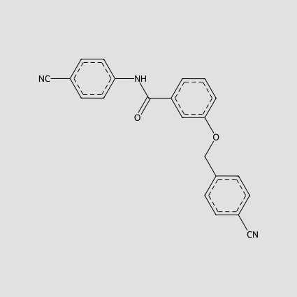 N#Cc1ccc(COc2cccc(C(=O)Nc3ccc(C#N)cc3)c2)cc1